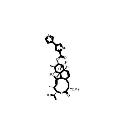 CO[C@H]1CC2C=C[C@H]3[C@H]4O[C@]2(/C(C)=C/[C@@H](C)[C@@H](C(C)O)OC1=O)[C@@H]3[C@H](O)[C@@H](C)[C@H]4OC(=O)c1cc(-c2ccsc2)c[nH]1